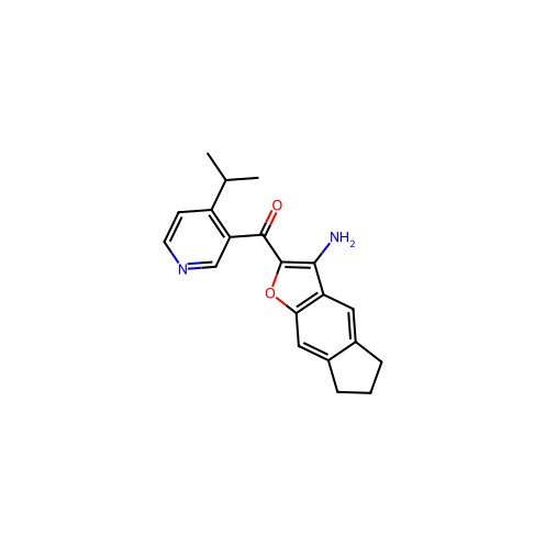 CC(C)c1ccncc1C(=O)c1oc2cc3c(cc2c1N)CCC3